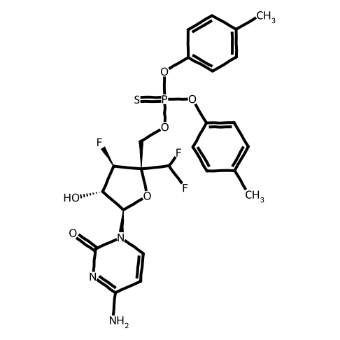 Cc1ccc(OP(=S)(OC[C@@]2(C(F)F)O[C@@H](n3ccc(N)nc3=O)[C@H](O)[C@H]2F)Oc2ccc(C)cc2)cc1